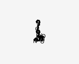 Cn1c(=O)c2nc(-c3ccc(OCCCN4CCCCC4)cc3)nnc2n(Cc2cccnc2)c1=O